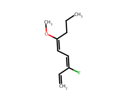 C=C/C(F)=C\C=C(/CCC)OC